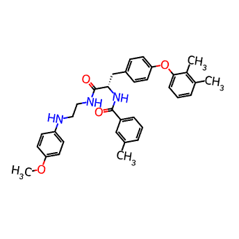 COc1ccc(NCCNC(=O)[C@H](Cc2ccc(Oc3cccc(C)c3C)cc2)NC(=O)c2cccc(C)c2)cc1